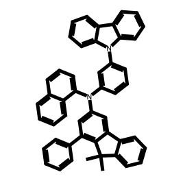 CC1(C)c2ccccc2-c2cc(N(c3cccc(-n4c5ccccc5c5ccccc54)c3)c3cccc4ccccc34)cc(-c3ccccc3)c21